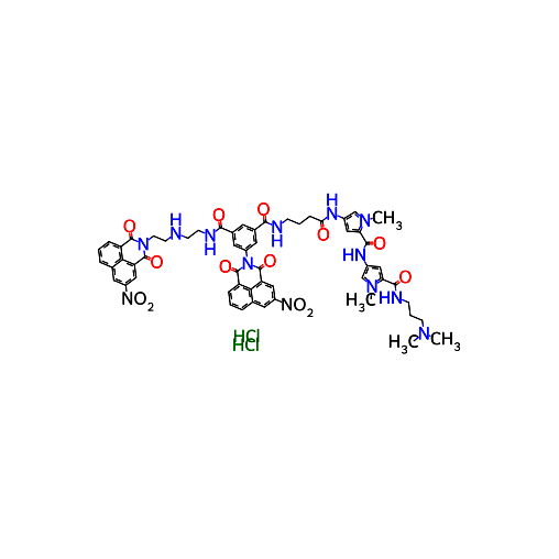 CN(C)CCCNC(=O)c1cc(NC(=O)c2cc(NC(=O)CCCNC(=O)c3cc(C(=O)NCCNCCN4C(=O)c5cccc6cc([N+](=O)[O-])cc(c56)C4=O)cc(N4C(=O)c5cccc6cc([N+](=O)[O-])cc(c56)C4=O)c3)cn2C)cn1C.Cl.Cl